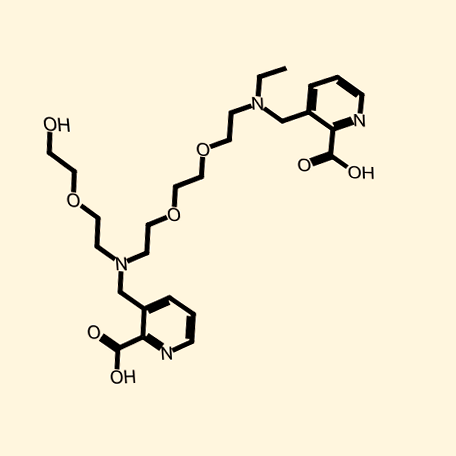 CCN(CCOCCOCCN(CCOCCO)Cc1cccnc1C(=O)O)Cc1cccnc1C(=O)O